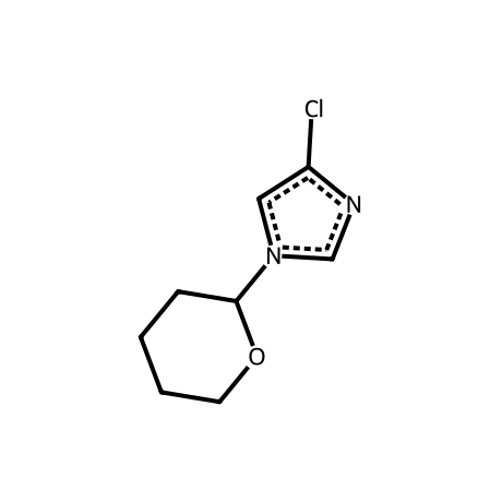 Clc1cn(C2CCCCO2)cn1